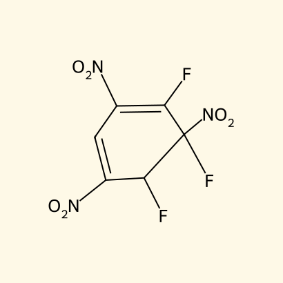 O=[N+]([O-])C1=CC([N+](=O)[O-])=C(F)C(F)([N+](=O)[O-])C1F